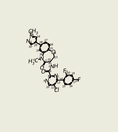 CN1C(=O)[C@@H](NC(=O)c2ncc(Cl)c(-c3ccc(F)cc3F)n2)COc2ccc(-c3cnn(C)c3)cc21